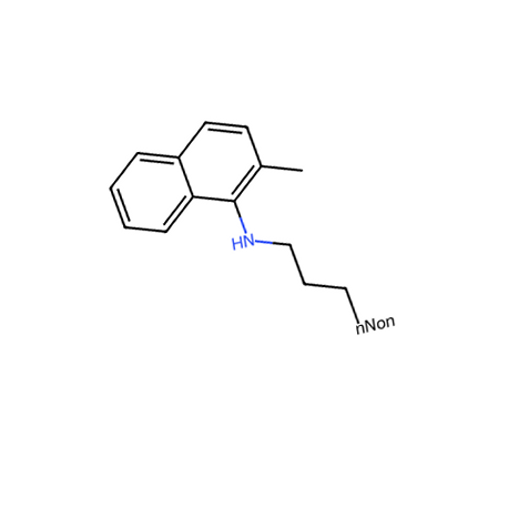 CCCCCCCCCCCCNc1c(C)ccc2ccccc12